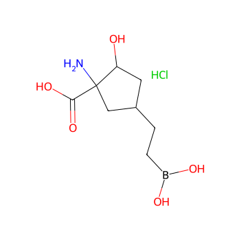 Cl.NC1(C(=O)O)CC(CCB(O)O)CC1O